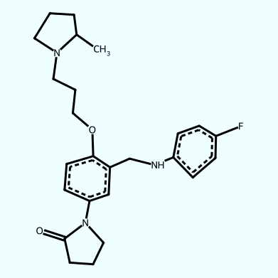 CC1CCCN1CCCOc1ccc(N2CCCC2=O)cc1CNc1ccc(F)cc1